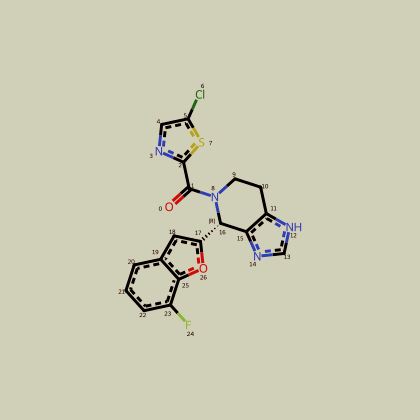 O=C(c1ncc(Cl)s1)N1CCc2[nH]cnc2[C@@H]1c1cc2cccc(F)c2o1